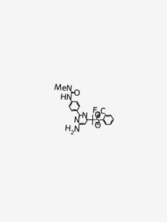 CNC(=O)Nc1ccc(-c2nc(N)cc(C(C)(C)S(=O)(=O)c3ccccc3C(F)(F)F)n2)cc1